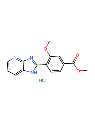 COC(=O)c1ccc(-c2nc3ncccc3[nH]2)c(OC)c1.Cl